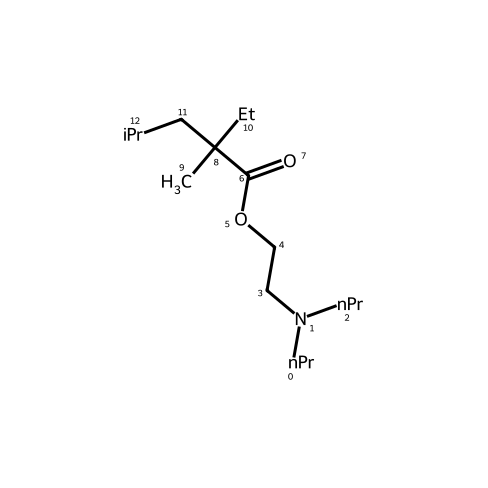 CCCN(CCC)CCOC(=O)C(C)(CC)CC(C)C